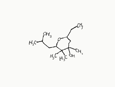 CCC1CC(C)(O)C(C)(C)C(CC(C)C)O1